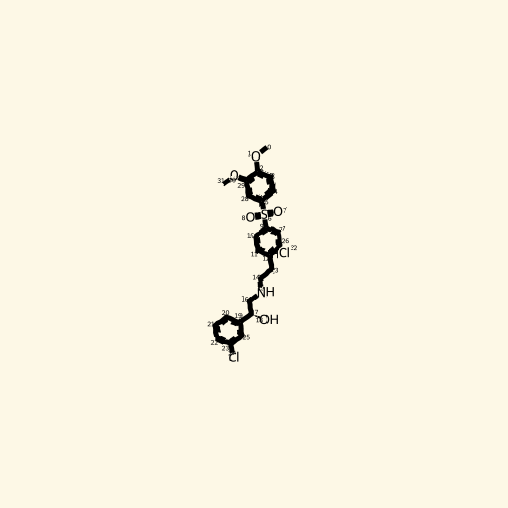 COc1ccc(S(=O)(=O)c2ccc(CCNC[C@H](O)c3cccc(Cl)c3)cc2)cc1OC.Cl